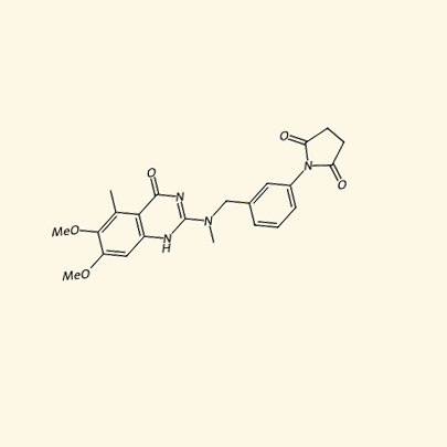 COc1cc2[nH]c(N(C)Cc3cccc(N4C(=O)CCC4=O)c3)nc(=O)c2c(C)c1OC